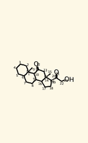 C[C@]12CCCCC1CCC1C2C(=O)C[C@@]2(C)C1CC[C@@H]2C(=O)CO